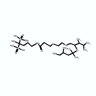 CC(C)C(C)C(COCCSCCC(=O)NCCCC(O)(P(=O)(O)O)P(=O)(O)O)OC(C)(C)CC(O)CO